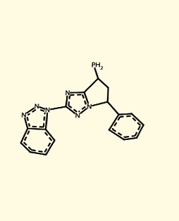 PC1CC(c2ccccc2)n2nc(-n3nnc4ccccc43)nc21